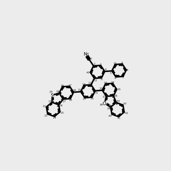 N#Cc1cc(-c2ccccc2)cc(-c2cc(-c3ccc4sc5ccccc5c4c3)ccc2-c2cccc3c2oc2ccccc23)c1